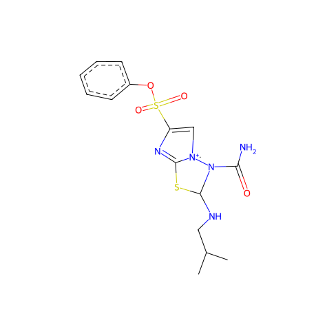 CC(C)CNC1SC2=NC(S(=O)(=O)Oc3ccccc3)=C[N+]2N1C(N)=O